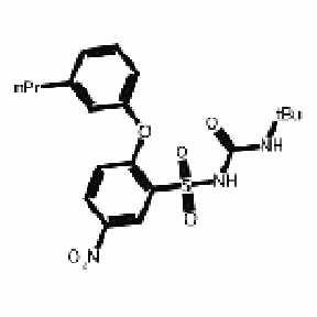 CCCc1cccc(Oc2ccc([N+](=O)[O-])cc2S(=O)(=O)NC(=O)NC(C)(C)C)c1